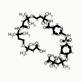 CC(C)(CCOC(C)(C)CC(=O)O)NC(=O)CC(C)(C)OCCC(C)(C)NC(=O)c1cnc(NS(=O)(=O)c2ccc(OC(C)(C)CC(C)(C)C(=O)O)cc2)nc1